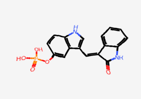 O=C1Nc2ccccc2/C1=C\c1c[nH]c2ccc(OP(=O)(O)O)cc12